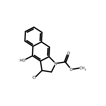 COC(=O)N1CC(Cl)c2c1cc1ccccc1c2O